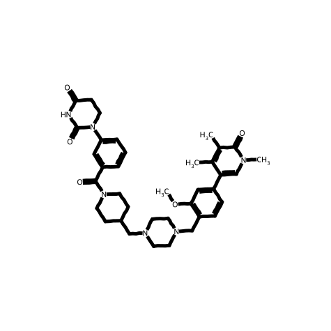 COc1cc(-c2cn(C)c(=O)c(C)c2C)ccc1CN1CCN(CC2CCN(C(=O)c3cccc(N4CCC(=O)NC4=O)c3)CC2)CC1